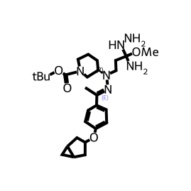 COC(N)(CCN(/N=C(\C)c1ccc(OC2CC3CC3C2)cc1)[C@@H]1CCCN(C(=O)OC(C)(C)C)C1)NN